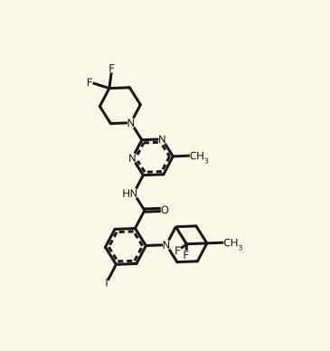 Cc1cc(NC(=O)c2ccc(I)cc2N2CCC3(C)CC2C3(F)F)nc(N2CCC(F)(F)CC2)n1